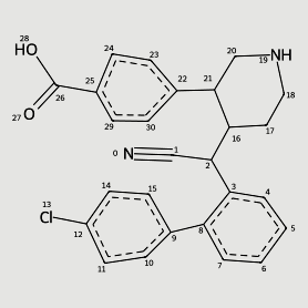 N#CC(c1ccccc1-c1ccc(Cl)cc1)C1CCNCC1c1ccc(C(=O)O)cc1